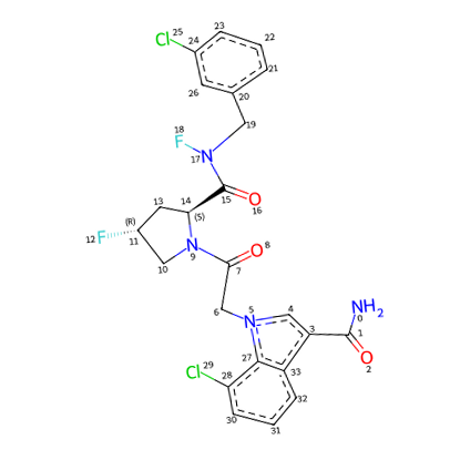 NC(=O)c1cn(CC(=O)N2C[C@H](F)C[C@H]2C(=O)N(F)Cc2cccc(Cl)c2)c2c(Cl)cccc12